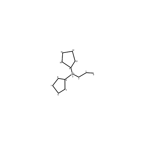 CCC[Si](C1CCCC1)C1CCCC1